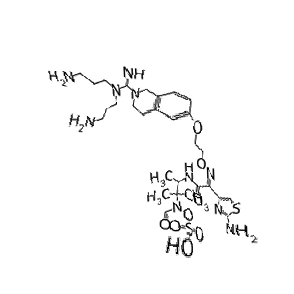 CC(NC(=O)/C(=N\OCCOc1ccc2c(c1)CCN(C(=N)N(CCCN)CCCN)C2)c1csc(N)n1)C(C)(C)N(C=O)OS(=O)(=O)O